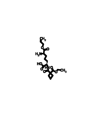 C=CCOC(=O)C(N)CCC[C@H](NC(=O)C1(C(=O)OCC)CCC1)C(=O)O